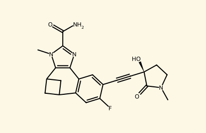 CN1CC[C@@](O)(C#Cc2cc3c(cc2F)C2CC(C2)c2c-3nc(C(N)=O)n2C)C1=O